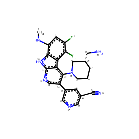 CNc1cc(F)c(F)c2c1[nH]c1ncc(-c3cncc(C#N)c3)c(N3CCC[C@@H](CN)C3)c12